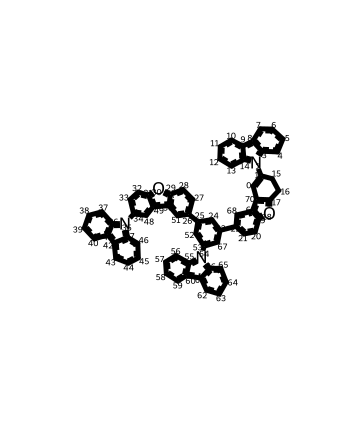 C1=C(n2c3ccccc3c3ccccc32)CCc2oc3ccc(-c4cc(-c5ccc6oc7ccc(-n8c9ccccc9c9ccccc98)cc7c6c5)cc(-n5c6ccccc6c6ccccc65)c4)cc3c21